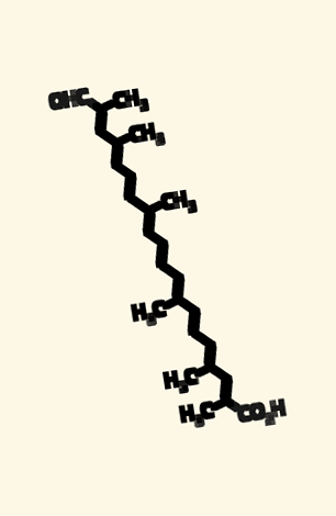 C\C(C=O)=C/C(C)=C/C=C/C(C)=C/C=C/C=C(C)/C=C/C=C(C)/C=C(\C)C(=O)O